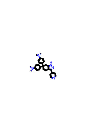 CN(C)c1ccc(C2(c3ccc(N(C)C)cc3)C=Cc3c(-c4ccncc4)n[nH]c3C2)cc1